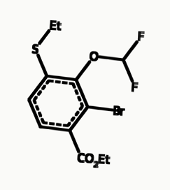 CCOC(=O)c1ccc(SCC)c(OC(F)F)c1Br